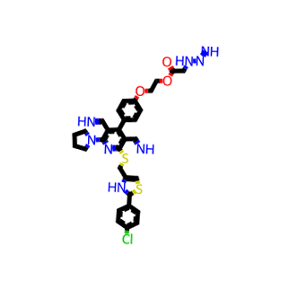 N=Cc1c(SCC2=CSC(c3ccc(Cl)cc3)N2)nc(N2CCCC2)c(C=N)c1-c1ccc(OCCOC(=O)CNN=N)cc1